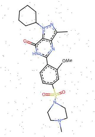 COc1cc(S(=O)(=O)N2CCN(C)CC2)ccc1-c1nc2c(C)nn(C3CCCCC3)c2c(=O)[nH]1